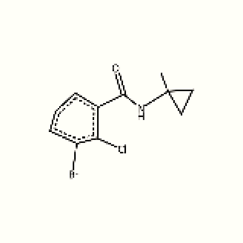 CC1(NC(=O)c2cccc(Br)c2Cl)CC1